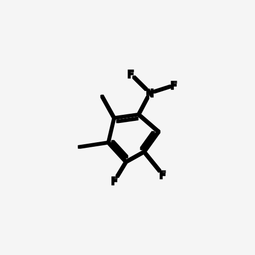 Cc1c(N(F)F)cc(F)c(F)c1C